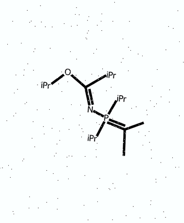 CC(C)=P(N=C(OC(C)C)C(C)C)(C(C)C)C(C)C